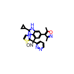 Cc1noc(C)c1-c1cc(C(N=O)(c2cccnn2)c2nccs2)c2nc(C3CC3)[nH]c2c1